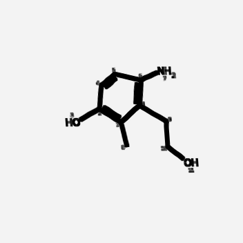 Cc1c(O)ccc(N)c1CCO